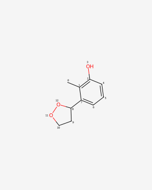 Cc1c(O)cccc1C1CCOO1